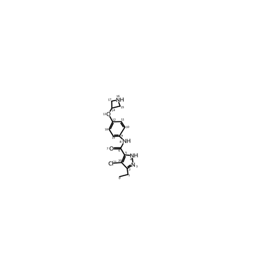 CCc1n[nH]c(C(=O)Nc2ccc(OC3CNC3)cc2)c1Cl